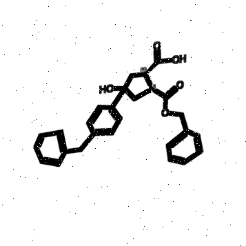 O=C(O)[C@@H]1CC(O)(c2ccc(Cc3ccccc3)cc2)CN1C(=O)OCc1ccccc1